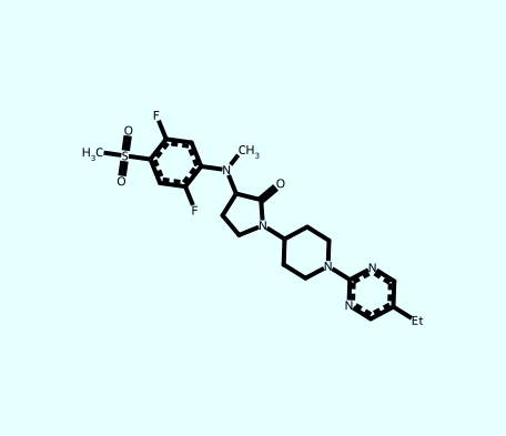 CCc1cnc(N2CCC(N3CCC(N(C)c4cc(F)c(S(C)(=O)=O)cc4F)C3=O)CC2)nc1